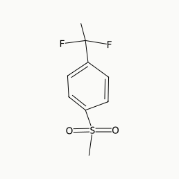 CC(F)(F)c1ccc(S(C)(=O)=O)cc1